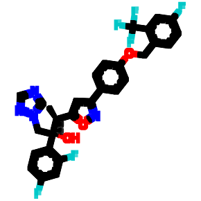 C[C@@H](c1cc(-c2ccc(OCc3ccc(F)cc3C(F)(F)F)cc2)no1)[C@](O)(Cn1cncn1)c1ccc(F)cc1F